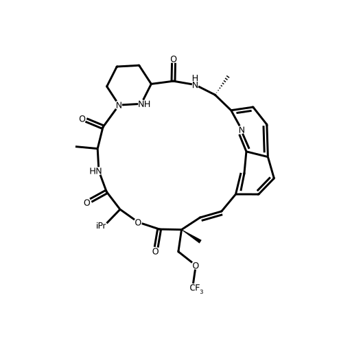 CC1NC(=O)C(C(C)C)OC(=O)[C@@](C)(COC(F)(F)F)/C=C/c2ccc3ccc(nc3c2)[C@@H](C)NC(=O)C2CCCN(N2)C1=O